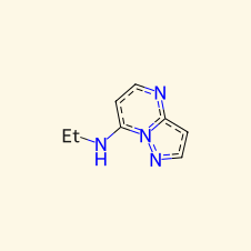 CCNc1ccnc2ccnn12